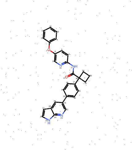 O=C(Nc1ccc(Oc2ccccc2)cn1)C1(c2ccc(-c3cnc4[nH]ccc4c3)cc2)CCC1